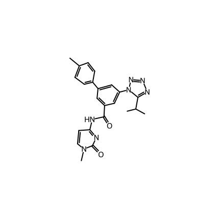 Cc1ccc(-c2cc(C(=O)Nc3ccn(C)c(=O)n3)cc(-n3nnnc3C(C)C)c2)cc1